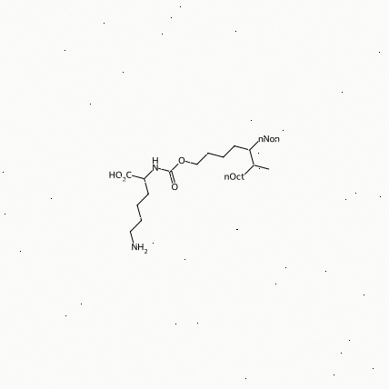 CCCCCCCCCC(CCCCOC(=O)NC(CCCCN)C(=O)O)C(C)CCCCCCCC